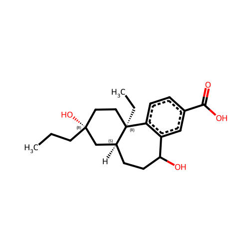 CCC[C@@]1(O)CC[C@@]2(CC)c3ccc(C(=O)O)cc3C(O)CC[C@H]2C1